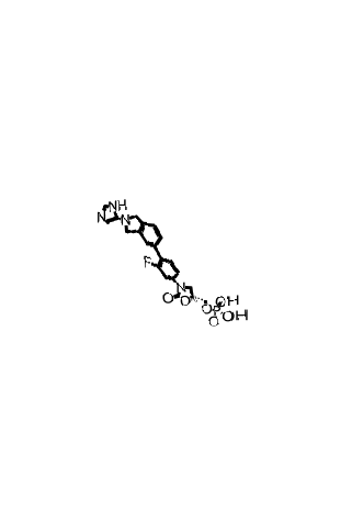 O=C1O[C@@H](COP(=O)(O)O)CN1c1ccc(-c2ccc3c(c2)CN(c2cnc[nH]2)C3)c(F)c1